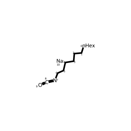 CCCCCCCCCCCCN=C=O.[Na]